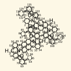 Cc1ccccc1N(c1ccc2ccc3c(N(c4ccccc4C)c4cc(-c5cc(N(c6ccccc6C)c6ccc7ccc8c(N(c9ccccc9C)c9cccc%10c9oc9c(C%11CCCC%11)cccc9%10)ccc9ccc6c7c98)c6oc7c(C8CCCC8)cccc7c6c5)cc5c4oc4c(C6CCCCC6)cccc45)ccc4ccc1c2c43)c1cccc2c1oc1c(C3CCCCC3)cccc12